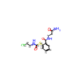 NC(=O)CCNC(=O)c1ccccc1SC(=O)NCCCl